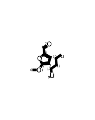 COc1ccc(C=O)o1.[Li][CH2]CCC